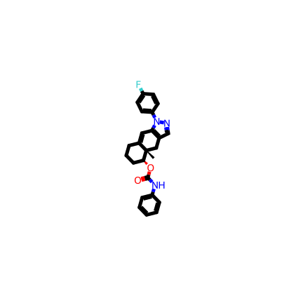 C[C@]12Cc3cnn(-c4ccc(F)cc4)c3C=C1CCC[C@@H]2OC(=O)Nc1ccccc1